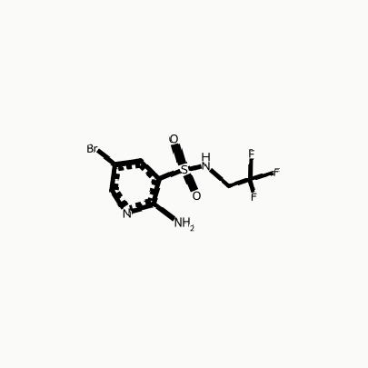 Nc1ncc(Br)cc1S(=O)(=O)NCC(F)(F)F